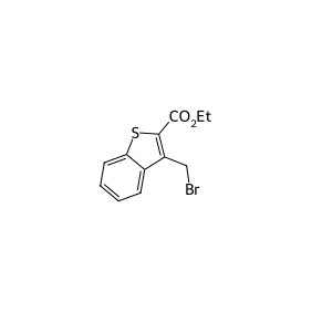 CCOC(=O)c1sc2ccccc2c1CBr